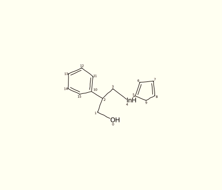 OCC([CH2][InH][C]1=CC=CC1)c1ccccc1